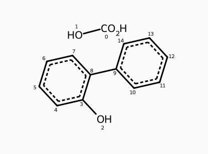 O=C(O)O.Oc1ccccc1-c1ccccc1